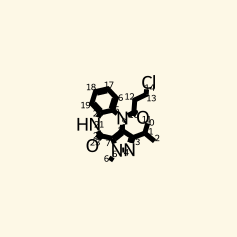 CC(C)c1nn(C)c2c1N(C(=O)CCCl)c1ccccc1NC2=O